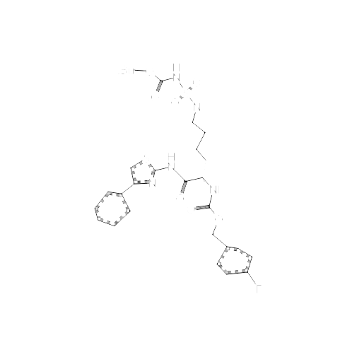 CC(C)(C)OC(=O)NS(=O)(=O)NCCCC[C@H](NC(=O)OCc1ccc(F)cc1)C(=O)Nc1nc(-c2ccccc2)cs1